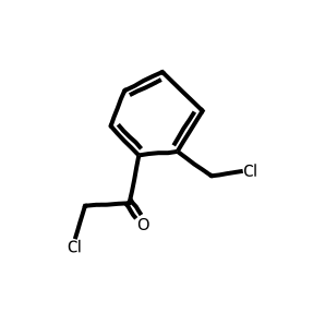 O=C(CCl)c1ccccc1CCl